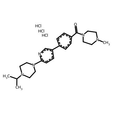 CC(C)N1CCN(c2ccc(-c3ccc(C(=O)N4CCN(C)CC4)cc3)cn2)CC1.Cl.Cl.Cl